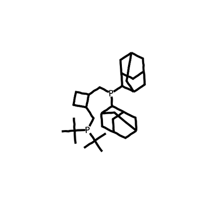 CC(C)(C)P(CC1CCC1CP(C1C2CC3CC(C2)CC1C3)C1C2CC3CC(C2)CC1C3)C(C)(C)C